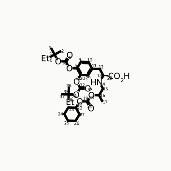 CCC(C)(C)OC(=O)Oc1ccc(C[C@H](NCC(C)OC(=O)OC2CCCCC2)C(=O)O)cc1OC(=O)OC(C)(C)CC